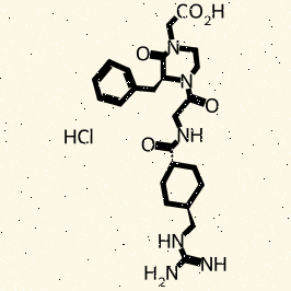 Cl.N=C(N)NC[C@H]1CC[C@H](C(=O)NCC(=O)N2CCN(CC(=O)O)C(=O)[C@@H]2Cc2ccccc2)CC1